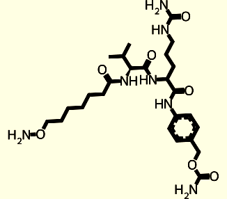 CC(C)[C@H](NC(=O)CCCCCCON)C(=O)NC(CCCNC(N)=O)C(=O)Nc1ccc(COC(N)=O)cc1